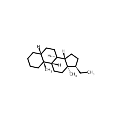 CC[C@@H]1CC[C@H]2[C@@H]3CC[C@H]4CCCC[C@@]4(C)[C@H]3CC[C@]12C